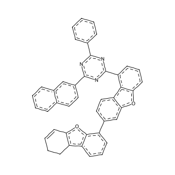 C1=Cc2oc3c(-c4ccc5c(c4)oc4cccc(-c6nc(-c7ccccc7)nc(-c7ccc8ccccc8c7)n6)c45)cccc3c2CC1